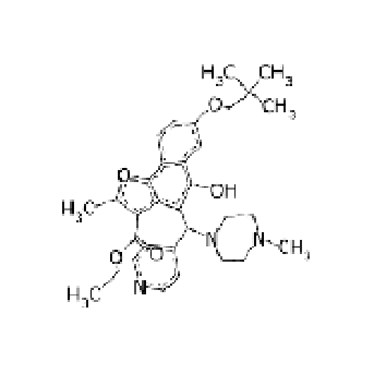 CCOC(=O)c1c(C)oc2c1c(C(c1ccncc1)N1CCN(C)CC1)c(O)c1cc(OCC(C)(C)C)ccc12